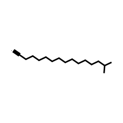 [C]#CCCCCCCCCCCCCC(C)C